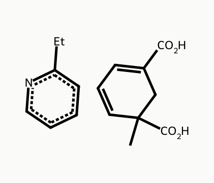 CC1(C(=O)O)C=CC=C(C(=O)O)C1.CCc1ccccn1